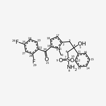 Cn1c(CC(O)(CS(N)(=O)=O)c2ccccc2)ccc1C(=O)c1ccc(F)cc1F